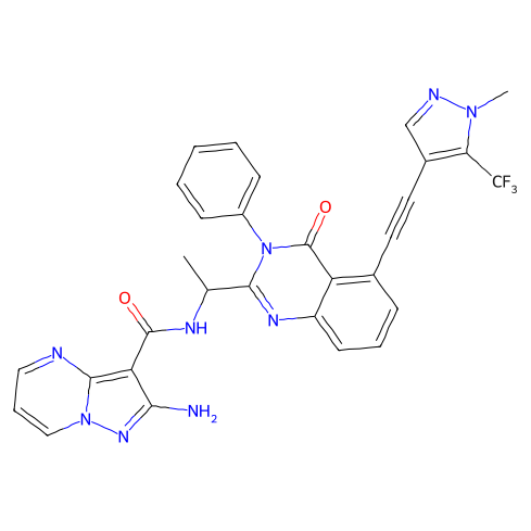 CC(NC(=O)c1c(N)nn2cccnc12)c1nc2cccc(C#Cc3cnn(C)c3C(F)(F)F)c2c(=O)n1-c1ccccc1